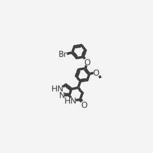 COc1cc(C2CC(=O)Nc3n[nH]cc32)ccc1Oc1cccc(Br)c1